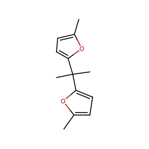 Cc1ccc(C(C)(C)c2ccc(C)o2)o1